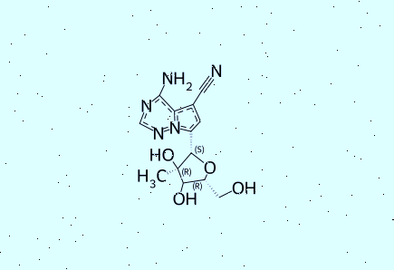 C[C@@]1(O)C(O)[C@@H](CO)O[C@H]1c1cc(C#N)c2c(N)ncnn12